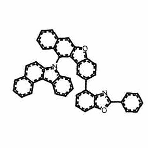 c1ccc(-c2nc3c(-c4ccc5oc6cc7ccccc7c(-n7c8ccccc8c8c9ccccc9ccc87)c6c5c4)cccc3o2)cc1